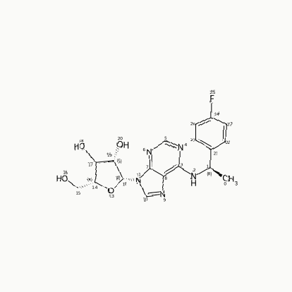 C[C@@H](Nc1ncnc2c1ncn2[C@@H]1O[C@H](CO)C(O)[C@@H]1O)c1ccc(F)cc1